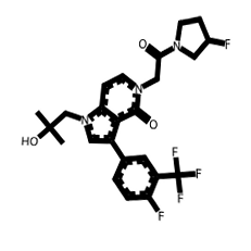 CC(C)(O)Cn1cc(-c2ccc(F)c(C(F)(F)F)c2)c2c(=O)n(CC(=O)N3CCC(F)C3)ccc21